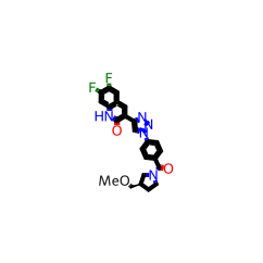 COC[C@@H]1CCN(C(=O)c2ccc(-n3cc(-c4cc5cc(F)c(F)cc5[nH]c4=O)nn3)cc2)C1